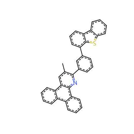 Cc1cc2c3ccccc3c3ccccc3c2nc1-c1cccc(-c2cccc3c2sc2ccccc23)c1